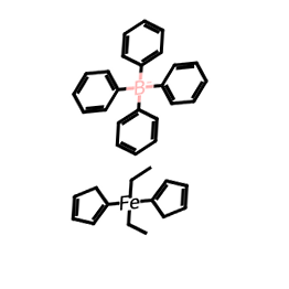 C[CH2][Fe]([CH2]C)([C]1=CC=CC1)[C]1=CC=CC1.c1ccc([B-](c2ccccc2)(c2ccccc2)c2ccccc2)cc1